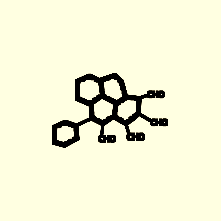 O=Cc1c(C=O)c2ccc3cccc4c(-c5ccccc5)c(C=O)c(c1C=O)c2c34